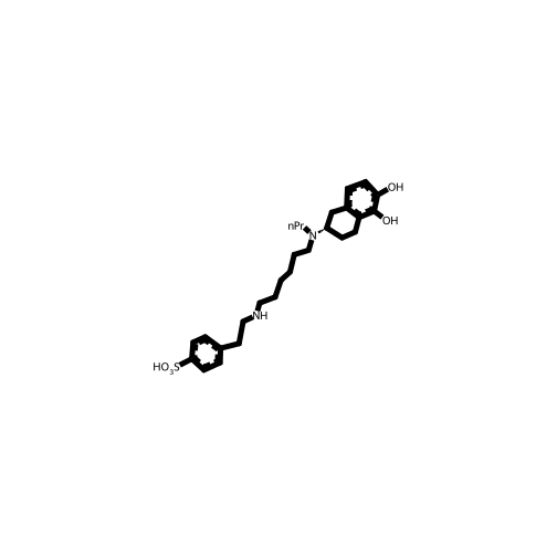 CCCN(CCCCCCNCCc1ccc(S(=O)(=O)O)cc1)[C@H]1CCc2c(ccc(O)c2O)C1